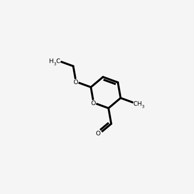 CCOC1C=CC(C)C(C=O)O1